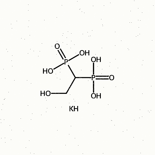 O=P(O)(O)C(CO)P(=O)(O)O.[KH]